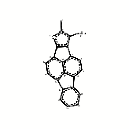 CCCCc1c(C)sc2c1-c1ccc3c4c(ccc-2c14)-c1ccccc1-3